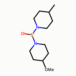 COC1CCN([S+]([O-])N2CCC(C)CC2)CC1